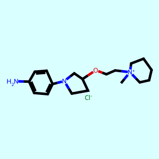 C[N+]1(CCOC2CCN(c3ccc(N)cc3)C2)CCCCC1.[Cl-]